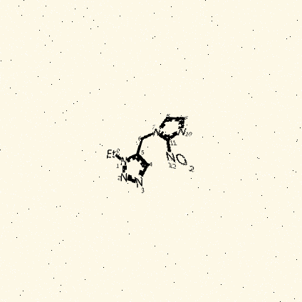 CCn1nncc1Cn1ccnc1[N+](=O)[O-]